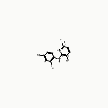 Cc1ccc(F)c(Nc2ccc(I)cc2F)n1